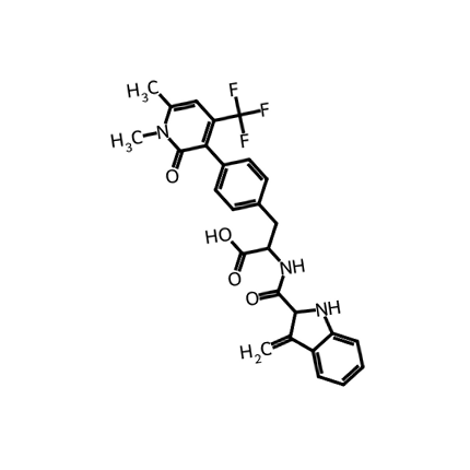 C=C1c2ccccc2NC1C(=O)NC(Cc1ccc(-c2c(C(F)(F)F)cc(C)n(C)c2=O)cc1)C(=O)O